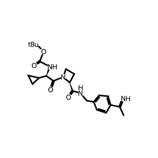 CC(=N)c1ccc(CNC(=O)[C@@H]2CCN2C(=O)[C@H](NC(=O)OC(C)(C)C)C2CC2)cc1